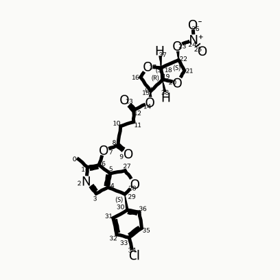 Cc1ncc2c(c1OC(=O)CCC(=O)O[C@H]1CO[C@H]3[C@@H]1OC[C@@H]3O[N+](=O)[O-])CO[C@H]2c1ccc(Cl)cc1